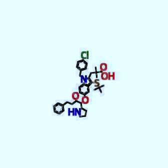 CC(C)(C)Sc1c(CC(C)(C)C(=O)O)n(Cc2ccc(Cl)cc2)c2ccc(OC(C(=O)CCc3ccccc3)C3CCCN3)cc12